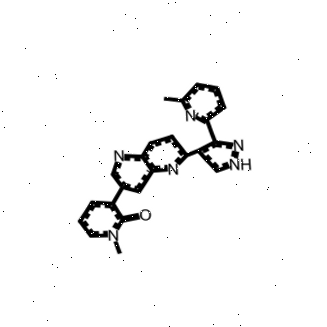 Cc1cccc(-c2n[nH]cc2-c2ccc3ncc(-c4cccn(C)c4=O)cc3n2)n1